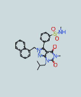 CNS(=O)(=O)c1cccc(-c2c3c(=O)n(C)c(=O)n(CC(C)C)c3nn2Cc2cccc3ccccc23)c1